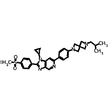 CC(C)CN1CC2(C1)CN(c1ccc(-c3cc4c(cn3)nc(-c3ccc(S(C)(=O)=O)cc3)n4C3CC3)cc1)C2